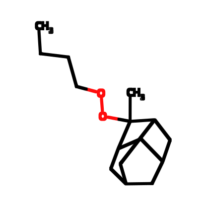 CCCCOOC1(C)C2CC3CC(C2)CC1C3